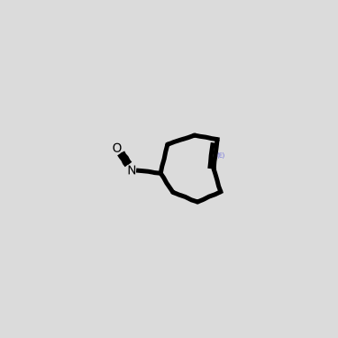 O=NC1CC/C=C/CCC1